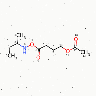 CCC(C)NOC(=O)CCCOC(C)=O